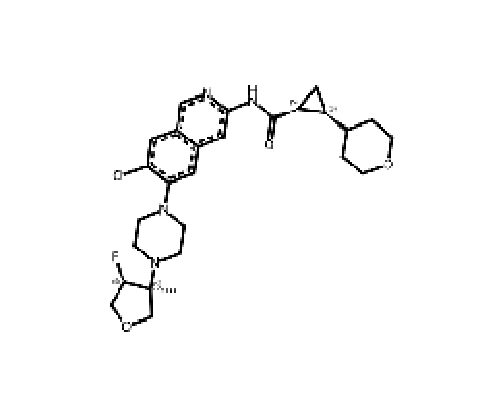 C[C@]1(N2CCN(c3cc4cc(NC(=O)[C@H]5C[C@H]5C5CCOCC5)ncc4cc3Cl)CC2)COC[C@H]1F